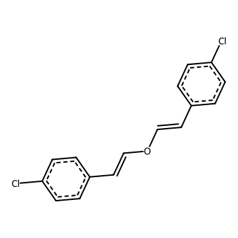 Clc1ccc(C=COC=Cc2ccc(Cl)cc2)cc1